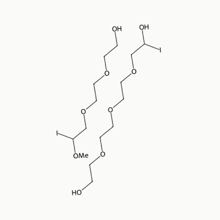 COC(I)COCCOCCO.OCCOCCOCCOCC(O)I